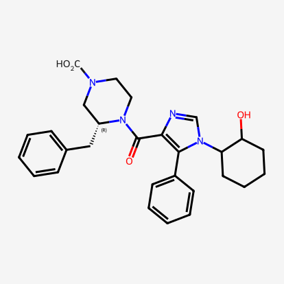 O=C(O)N1CCN(C(=O)c2ncn(C3CCCCC3O)c2-c2ccccc2)[C@H](Cc2ccccc2)C1